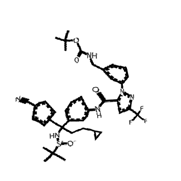 CC(C)(C)OC(=O)NCc1cccc(-n2nc(C(F)(F)F)cc2C(=O)Nc2cccc(C(CCC3CC3)(N[S+]([O-])C(C)(C)C)c3ccc(C#N)cc3)c2)c1